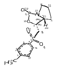 Cc1ccc(S(=O)(=O)C[C@@H]2OP(Cl)N3CCC[C@H]23)cc1